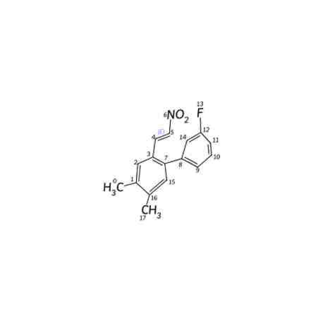 Cc1cc(/C=C/[N+](=O)[O-])c(-c2cccc(F)c2)cc1C